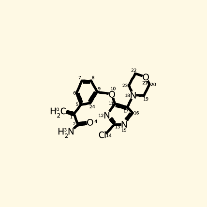 C=C(C(N)=O)c1cccc(Oc2nc(Cl)ncc2N2CCOCC2)c1